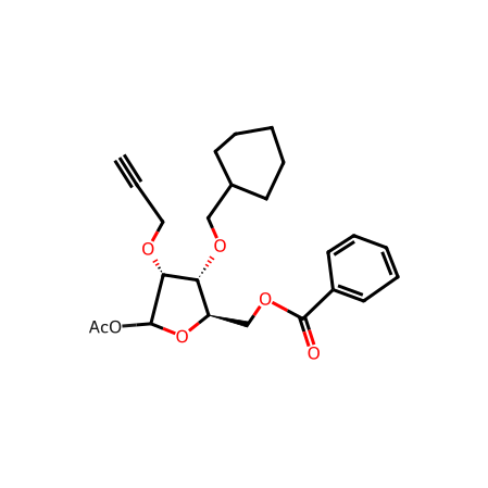 C#CCO[C@H]1C(OC(C)=O)O[C@H](COC(=O)c2ccccc2)[C@H]1OCC1CCCCC1